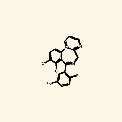 Oc1ccc(F)c(C2=NCc3nccc[n+]3-c3ccc(Cl)c(Cl)c32)c1